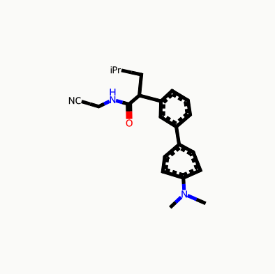 CC(C)CC(C(=O)NCC#N)c1cccc(-c2ccc(N(C)C)cc2)c1